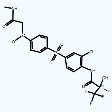 CNC(=O)C[S+]([O-])c1ccc(S(=O)(=O)c2ccc(NC(=O)[C@@](C)(O)C(F)(F)F)c(Cl)c2)cc1